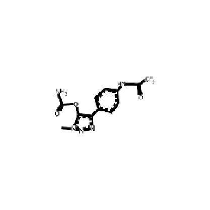 Cn1nnc(-c2ccc(NC(=O)C(F)(F)F)cc2)c1OC(N)=O